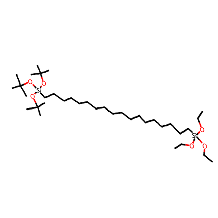 CCO[Si](CCCCCCCCCCCCCCCCCC[Si](OC(C)(C)C)(OC(C)(C)C)OC(C)(C)C)(OCC)OCC